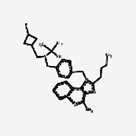 CCCCc1nc2c(N)nc3ccccc3c2n1Cc1ccc(CN(CC2CC(F)C2)C(C)(C)C)cc1